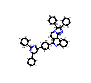 c1ccc(-c2cc(-c3ccc(-c4nc5ccccc5c5c4ccn4c(-c6ccccc6)c(-c6ccccc6)nc54)cc3)nc(-c3ccccc3)n2)cc1